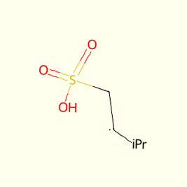 CC(C)[CH]CS(=O)(=O)O